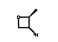 [2H]C1CO[C@H]1C